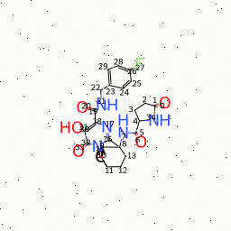 O=C1CCC(C(=O)NC23CCC(CC2)Cn2c3nc(C(=O)NCc3ccc(F)cc3)c(O)c2=O)N1